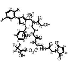 CC(C)(C)[C@H](c1cc(-c2cc(F)ccc2F)cn1Cc1ccccc1)N(CC[C@H](N)C(=O)N[C@H](CNC(=O)CN1C(=O)C=CC1=O)C(=O)O)C(=O)CO.O=C(O)C(F)(F)F